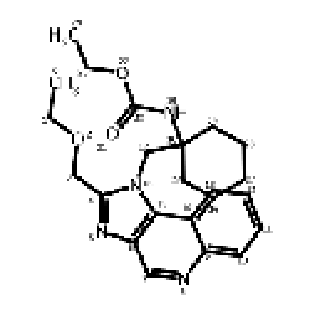 CCOCc1nc2cnc3ccccc3c2n1CC1(NC(=O)OCC)CCCCC1